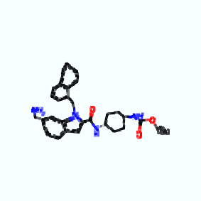 CC(C)(C)OC(=O)N[C@H]1CC[C@H](NC(=O)c2cc3ccc(CN)cc3n2Cc2cccc3ccccc23)CC1